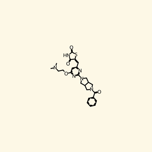 CN(C)CCOc1cc(/C=C2/SC(=O)NC2=O)nc(N2CC3CN(C(=O)c4ccccc4)CC3C2)n1